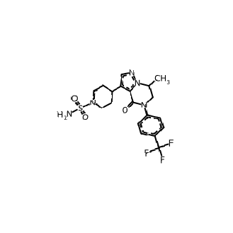 CC1CN(c2ccc(C(F)(F)F)cc2)C(=O)c2c(C3CCN(S(N)(=O)=O)CC3)cnn21